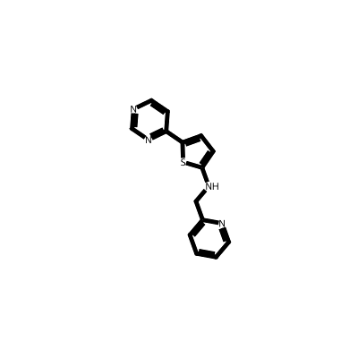 [c]1nccc(-c2ccc(NCc3ccccn3)s2)n1